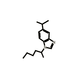 CCCCC(C)n1cnc2cc(C(C)C)ccc21